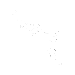 C=C(Nc1cccc(C(F)(F)F)c1)c1ccc(C)c(C#Cc2cnc3c(N/C(C=N)=C/NC4CCNCC4)cccn23)c1